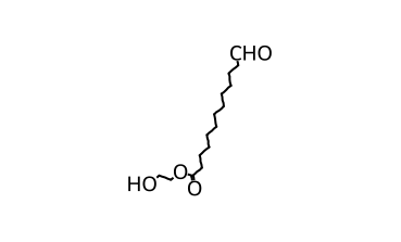 O=CCCCCCCCCCCCC(=O)OCCO